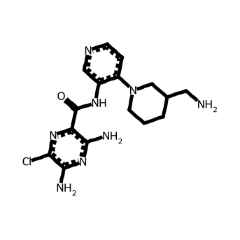 NCC1CCCN(c2ccncc2NC(=O)c2nc(Cl)c(N)nc2N)C1